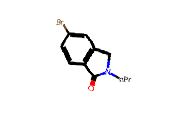 [CH2]CCN1Cc2cc(Br)ccc2C1=O